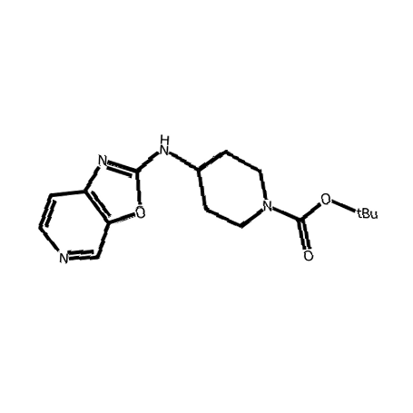 CC(C)(C)OC(=O)N1CCC(Nc2nc3ccncc3o2)CC1